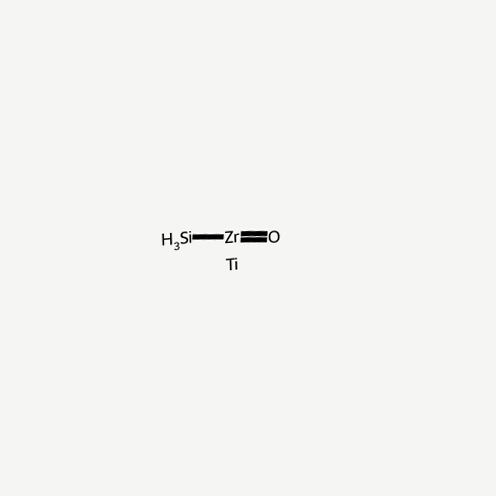 [O]=[Zr][SiH3].[Ti]